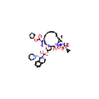 O=C(N[C@H]1CCCCC/C=C/[C@@H]2C[C@@]2(C(=O)NS(=O)(=O)C2CC2)NC(=O)C2C[C@@H](OC(=O)N3CCc4ccccc4[C@@H]3CN3CCCCC3)CN2C1=O)OC1CCCC1